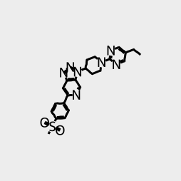 CCc1cnc(N2CCC(n3nnc4cc(-c5ccc(S(C)(=O)=O)cc5)ncc43)CC2)nc1